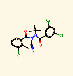 Cc1c(Cl)cccc1C(=O)N(C#N)N(C(=O)c1cc(Cl)cc(Cl)c1)C(C)(C)C